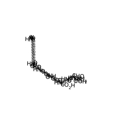 NC(CO)C(=O)PN[C@H](C=O)CSCC(=O)NCCCC[C@H](NC(=O)COCCOCCNC(=O)COCCOCCNC(=O)CCCS(=O)(=O)NC(=O)CCCCCCCCCCCCCCCCc1nnn[nH]1)C(=O)O